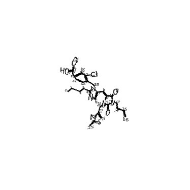 CCCCc1ncc(/C=C2/C(=O)N(CCCC)C(=O)N2Cc2csc(C)n2)n1Cc1ccc(C(=O)O)cc1Cl